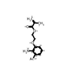 C=C(C)C(=O)OCCOc1cccc(C(C)=O)c1N